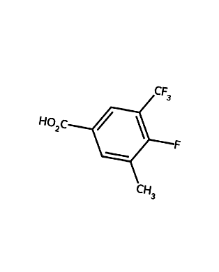 Cc1cc(C(=O)O)cc(C(F)(F)F)c1F